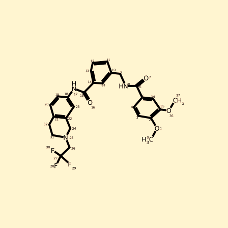 COc1ccc(C(=O)NCc2cccc(C(=O)Nc3ccc4c(c3)CN(CC(F)(F)F)CC4)c2)cc1OC